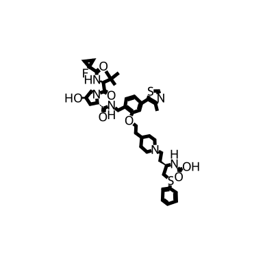 Cc1ncsc1-c1ccc(CNC(=O)[C@@H]2C[C@@H](O)CN2C(=O)[C@@H](NC(=O)C2(F)CC2)C(C)(C)C)c(OCCC2CCN(CC[C@H](CSc3ccccc3)NC(=O)O)CC2)c1